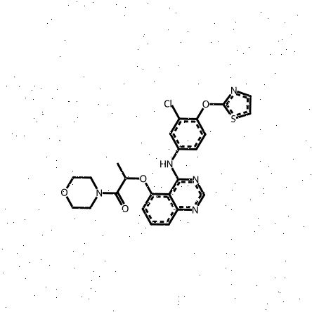 CC(Oc1cccc2ncnc(Nc3ccc(Oc4nccs4)c(Cl)c3)c12)C(=O)N1CCOCC1